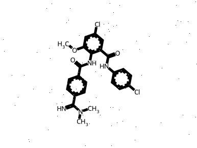 COc1cc(Cl)cc(C(=O)Nc2ccc(Cl)cc2)c1NC(=O)c1ccc(C(=N)N(C)C)cc1